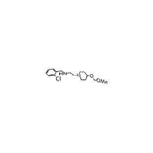 COCOC1CCN(CCNCc2ccccc2Cl)CC1